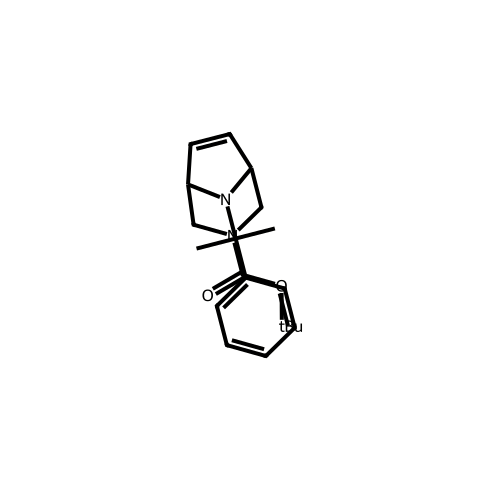 CC(C)(C)OC(=O)N1CC2C=CC(C1)N2C(C)(C)c1ccccc1